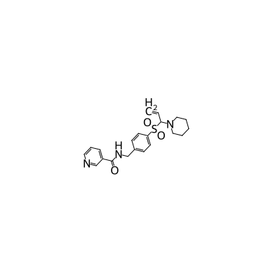 C=CC(N1CCCCC1)S(=O)(=O)c1ccc(CNC(=O)c2cccnc2)cc1